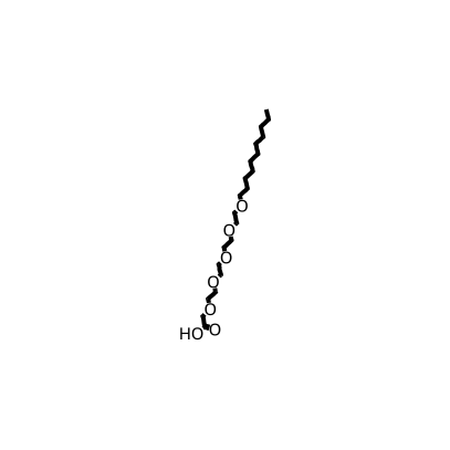 CCCCCCCCCCCOCCOCCOCCOCCOCC(=O)O